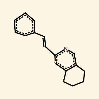 C(=C\c1ncc2c(n1)CCCC2)/c1ccccc1